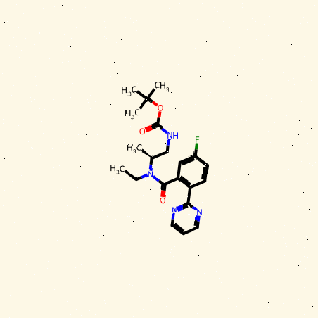 CCN(C(=O)c1cc(F)ccc1-c1ncccn1)[C@@H](C)CNC(=O)OC(C)(C)C